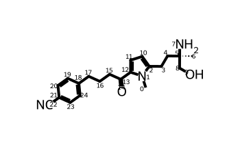 Cn1c(CC[C@@](C)(N)CO)ccc1C(=O)CCCc1ccc(C#N)cc1